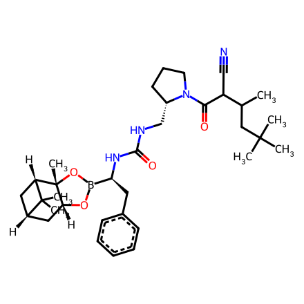 CC(CC(C)(C)C)C(C#N)C(=O)N1CCC[C@H]1CNC(=O)N[C@@H](Cc1ccccc1)B1O[C@@H]2C[C@@H]3C[C@@H](C3(C)C)[C@]2(C)O1